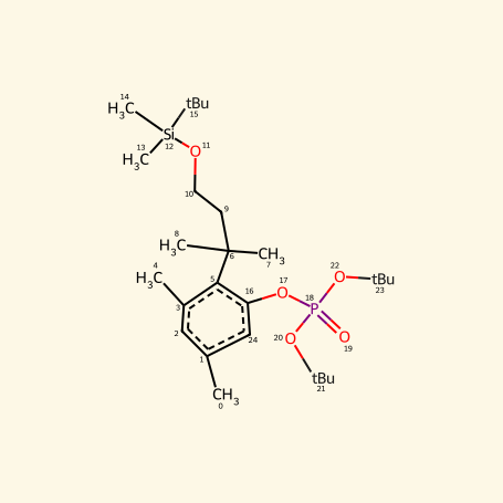 Cc1cc(C)c(C(C)(C)CCO[Si](C)(C)C(C)(C)C)c(OP(=O)(OC(C)(C)C)OC(C)(C)C)c1